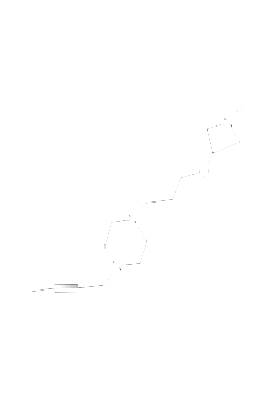 CC#CCN1CCN(CCCOC2CN(C)C2)CC1